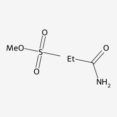 CCC(N)=O.COS(C)(=O)=O